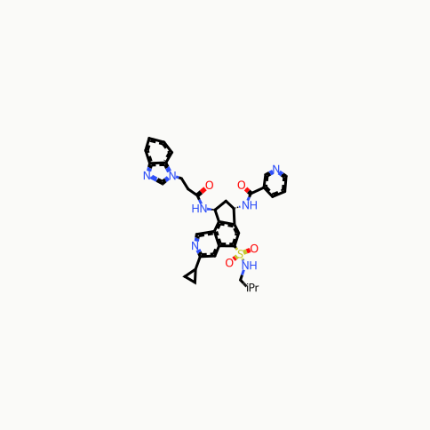 CC(C)CNS(=O)(=O)c1cc2c(c3cnc(C4CC4)cc13)[C@@H](NC(=O)CCn1cnc3ccccc31)C[C@@H]2NC(=O)c1cccnc1